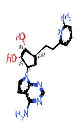 Nc1cccc(CC[C@H]2C[C@@H](n3ccc4c(N)ncnc43)[C@H](O)[C@@H]2O)n1